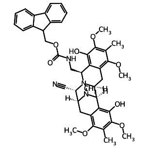 COc1c(C)c(OC)c2c(c1O)[C@@H]1[C@@H]3Cc4c(OC)c(C)c(OC)c(O)c4[C@H](CNC(=O)OCC4c5ccccc5-c5ccccc54)N3[C@@H](C#N)[C@H](C2)N1C